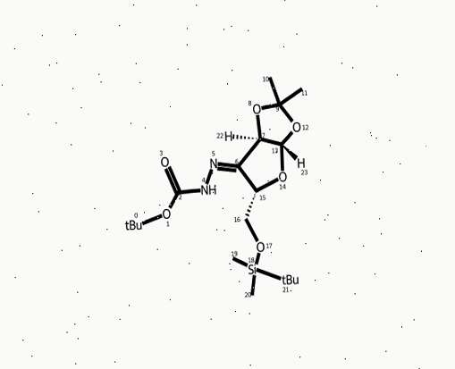 CC(C)(C)OC(=O)N/N=C1/[C@H]2OC(C)(C)O[C@@H]2O[C@@H]1CO[Si](C)(C)C(C)(C)C